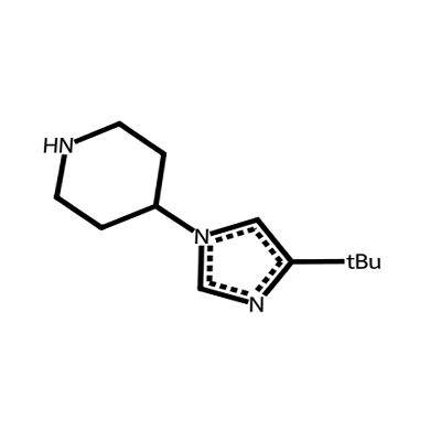 CC(C)(C)c1cn(C2CCNCC2)cn1